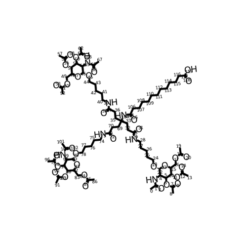 CC(=O)NC1C(OC(C)=O)[C@@H](OC(C)=O)C(COC(C)=O)O[C@H]1OCCCCCNC(=O)CCC(CCC(=O)NCCCCCO[C@@H]1OC(COC(C)=O)[C@H](OC(C)=O)C(OC(C)=O)C1NC(C)=O)(CCC(=O)NCCCCCO[C@@H]1OC(COC(C)=O)[C@H](OC(C)=O)C(OC(C)=O)C1NC(C)=O)NC(=O)CCCCCCCCCCCC(=O)O